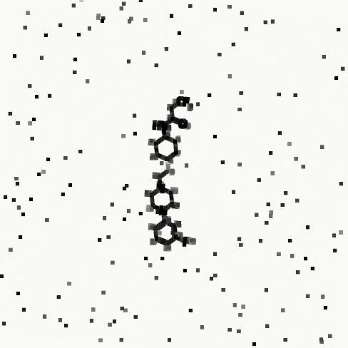 O=C(CC(F)(F)F)N[C@H]1CC[C@H](CCN2CCN(c3cccc(F)c3)CC2)CC1